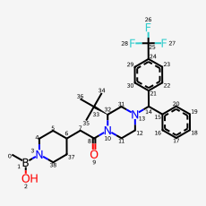 CB(O)N1CCC(CC(=O)N2CCN(C(c3ccccc3)c3ccc(C(F)(F)F)cc3)C[C@@H]2C(C)(C)C)CC1